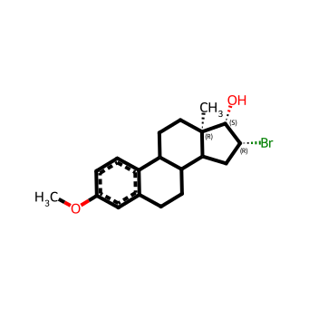 COc1ccc2c(c1)CCC1C2CC[C@]2(C)C1C[C@@H](Br)[C@H]2O